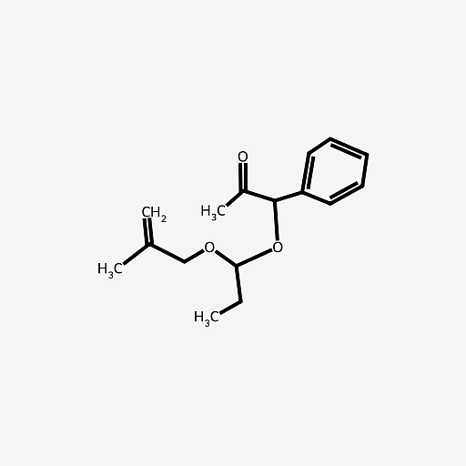 C=C(C)COC(CC)OC(C(C)=O)c1ccccc1